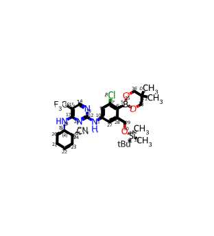 CC1(C)COB(c2c(Cl)cc(Nc3ncc(C(F)(F)F)c(N[C@@H]4CCCC[C@H]4C#N)n3)cc2CO[Si](C)(C)C(C)(C)C)OC1